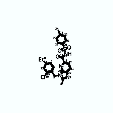 CCc1ccc(Cn2c(C)nc3ccc(C(=O)NS(=O)(=O)c4ccc(C)cc4)nc32)c(Cl)c1